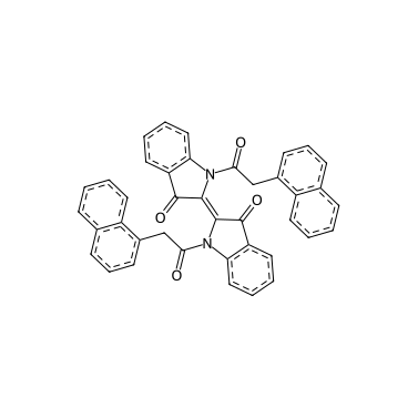 O=C1C(=C2C(=O)c3ccccc3N2C(=O)Cc2cccc3ccccc23)N(C(=O)Cc2cccc3ccccc23)c2ccccc21